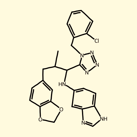 CC(Cc1ccc2c(c1)OCO2)C(Nc1ccc2[nH]cnc2c1)c1nnnn1Cc1ccccc1Cl